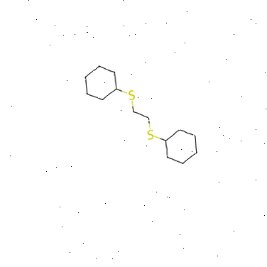 C1CCC(SCCSC2CCCCC2)CC1